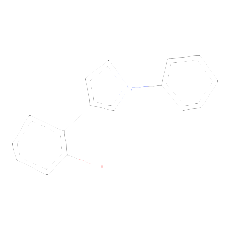 Oc1ccccc1-c1ccn(-c2ccccc2)c1